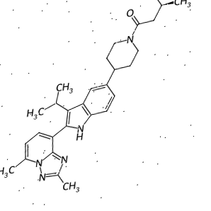 Cc1nc2c(-c3[nH]c4ccc(C5CCN(C(=O)C[C@H](C)O)CC5)cc4c3C(C)C)ccc(C)n2n1